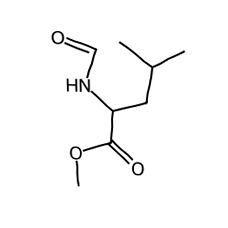 COC(=O)C(CC(C)C)NC=O